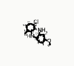 COc1ccc(Nc2cc(Cl)ccc2C)c(N)c1